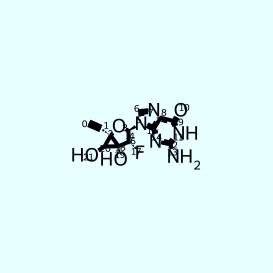 C#C[C@]12O[C@@H](n3cnc4c(=O)[nH]c(N)nc43)[C@H](F)[C@@]1(O)C2O